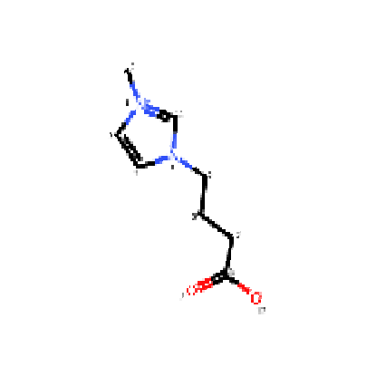 C[n+]1ccn(CCCC(=O)[O-])c1